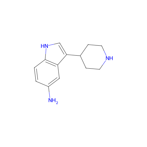 Nc1ccc2[nH]cc(C3CCNCC3)c2c1